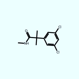 CNC(=O)C(C)(C)c1cc(Cl)cc(Cl)c1